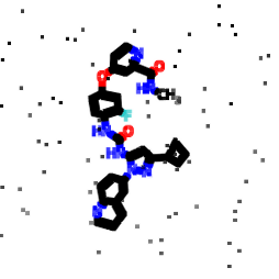 CNC(=O)c1cc(Oc2ccc(NC(=O)Nc3cc(C4CCC4)nn3-c3ccc4ncccc4c3)c(F)c2)ccn1